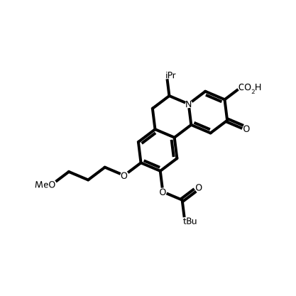 COCCCOc1cc2c(cc1OC(=O)C(C)(C)C)-c1cc(=O)c(C(=O)O)cn1C(C(C)C)C2